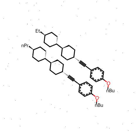 CCCCOc1ccc(C#C[C@H]2CC[C@H]([C@H]3CC[C@H](CC)CC3)CC2)cc1.CCCCOc1ccc(C#C[C@H]2CC[C@H]([C@H]3CC[C@H](CCC)CC3)CC2)cc1